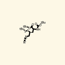 CC(C)(C)OC(=O)NC(C[C@@H](CN=[N+]=[N-])SSC(C)(C)C)C(=O)OC(C)(C)C